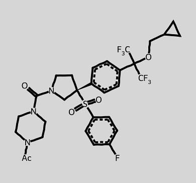 CC(=O)N1CCN(C(=O)N2CC[C@](c3ccc(C(OCC4CC4)(C(F)(F)F)C(F)(F)F)cc3)(S(=O)(=O)c3ccc(F)cc3)C2)CC1